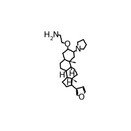 C[C@]12CC(N3CCCC3)C(OCCN)CC1CC[C@@H]1[C@H]2CC[C@]2(C)C(c3ccoc3)CC[C@@H]12